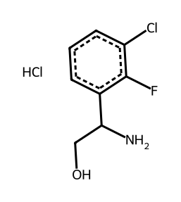 Cl.NC(CO)c1cccc(Cl)c1F